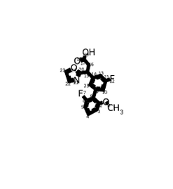 COc1cccc(F)c1-c1cc(F)cc(C(CC(=O)O)c2ncco2)c1